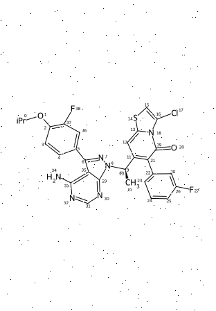 CC(C)Oc1ccc(-c2nn([C@H](C)c3cc4scc(Cl)n4c(=O)c3-c3cccc(F)c3)c3ncnc(N)c23)cc1F